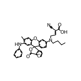 CCCCN(C/C=C(\C#N)C(=O)O)c1ccc2c(c1)Oc1cc(C)c(Nc3ccccc3)cc1C21OC(=O)c2ccccc21